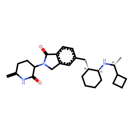 C=C1CCC(N2Cc3cc(C[C@H]4CCCC[C@@H]4N[C@H](C)C4CCC4)ccc3C2=O)C(=O)N1